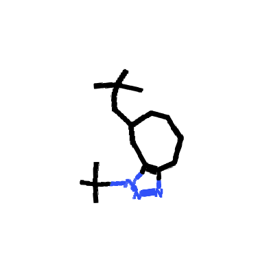 CC(C)(C)CC1CCCCc2nnn(C(C)(C)C)c2C1